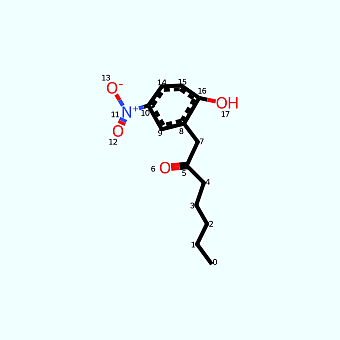 CCCCCC(=O)Cc1cc([N+](=O)[O-])ccc1O